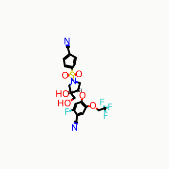 N#Cc1ccc(S(=O)(=O)N2C[C@H](Oc3cc(F)c(C#N)cc3OCC(F)(F)F)[C@](O)(CO)C2)cc1